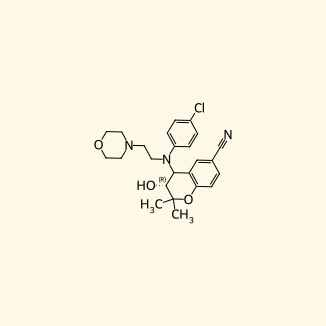 CC1(C)Oc2ccc(C#N)cc2C(N(CCN2CCOCC2)c2ccc(Cl)cc2)[C@H]1O